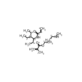 C=C(C)C(=O)OCC.C=CC(=O)NC(CC)N(CC)CC.CCNC